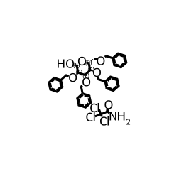 NC(=O)C(Cl)(Cl)Cl.O[C@H]1O[C@H](COCc2ccccc2)[C@@H](OCc2ccccc2)[C@H](OCc2ccccc2)[C@H]1OCc1ccccc1